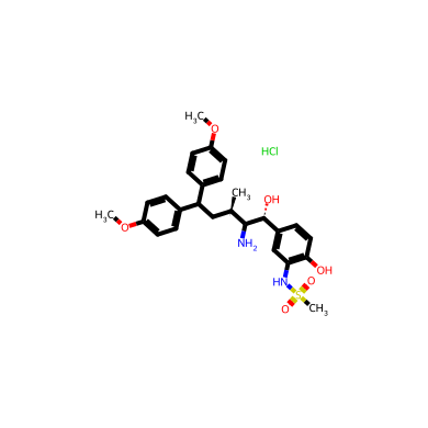 COc1ccc(C(C[C@@H](C)C(N)[C@H](O)c2ccc(O)c(NS(C)(=O)=O)c2)c2ccc(OC)cc2)cc1.Cl